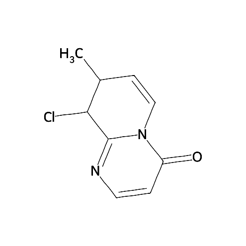 CC1C=Cn2c(nccc2=O)C1Cl